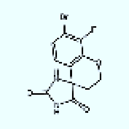 O=C1NC(=O)C2(CCOc3c2ccc(Br)c3F)N1